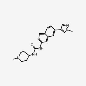 CN1CCC(NC(=O)Nc2cc3cc(-c4cnn(C)c4)ccc3cn2)CC1